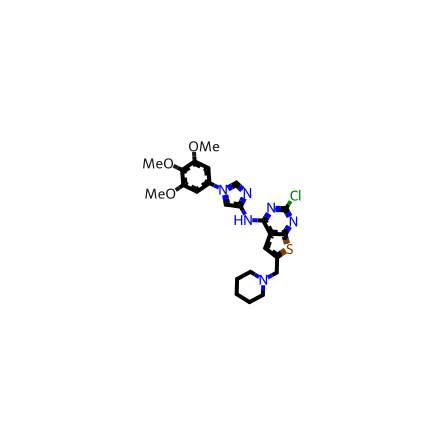 COc1cc(-n2cnc(Nc3nc(Cl)nc4sc(CN5CCCCC5)cc34)c2)cc(OC)c1OC